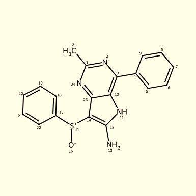 Cc1nc(-c2ccccc2)c2[nH]c(N)c([S+]([O-])c3ccccc3)c2n1